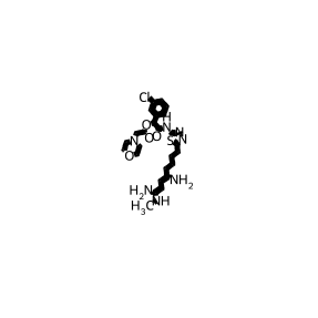 CN/C(N)=C/C=C(\N)CCCCc1nnc(NC(=O)C(OC(=O)CN2CCOCC2)c2cccc(Cl)c2)s1